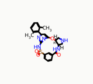 Cc1cccc(C)c1-c1cc2nc(n1)NS(=O)(=O)c1cccc(c1)C(=O)N[C@@H]1CNC[C@H]1O2